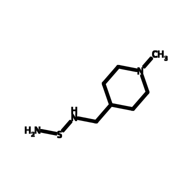 CN1CCC(CNSN)CC1